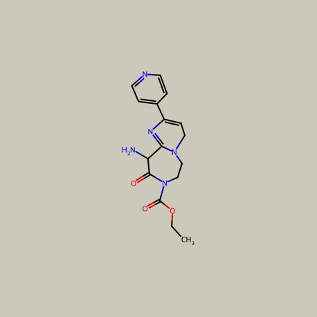 CCOC(=O)N1CCN2CC=C(c3ccncc3)N=C2C(N)C1=O